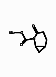 CC(C)(C)OC(=O)N1C(=O)CCC2CC21